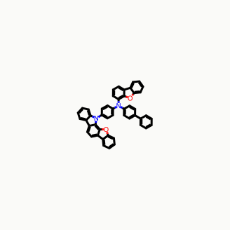 c1ccc(-c2ccc(N(c3ccc(-n4c5ccccc5c5ccc6c7ccccc7oc6c54)cc3)c3cccc4c3oc3ccccc34)cc2)cc1